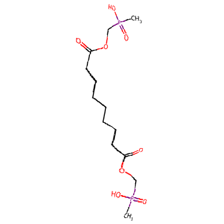 CP(=O)(O)COC(=O)CCCCCCCC(=O)OCP(C)(=O)O